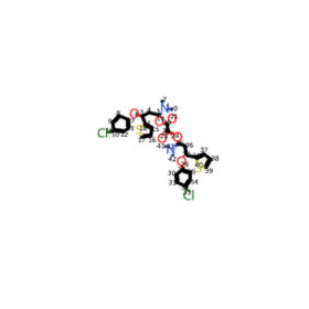 CN(C)C(CC(Oc1ccc(Cl)cc1)c1cccs1)OC(=O)C(=O)OC(CC(Oc1ccc(Cl)cc1)c1cccs1)N(C)C